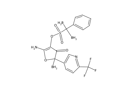 BC1(c2ccc(C(F)(F)F)nc2)OC(N)=C(OS(=O)(=O)C(B)(B)c2ccccc2)C1=O